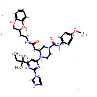 CCC(C)(C)c1cc(N2CCN(C(=O)Nc3ccc(OC)cc3)CC2CC(=O)NCCC2COc3ccccc3O2)nc(-n2ccnc2)n1